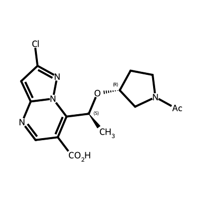 CC(=O)N1CC[C@@H](O[C@@H](C)c2c(C(=O)O)cnc3cc(Cl)nn23)C1